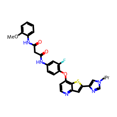 COc1ccccc1NC(=O)CC(=O)Nc1ccc(Oc2ccnc3cc(-c4cn(C(C)C)cn4)sc23)c(F)c1